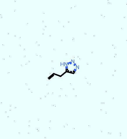 C=CCc1[c]nn[nH]1